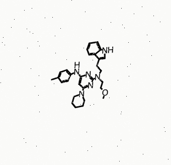 COCCN(CCc1c[nH]c2ccccc12)c1nc(Nc2ccc(C)cc2)cc(N2CCCCC2)n1